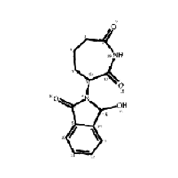 O=C1CCC[C@H](N2C(=O)c3ccccc3C2O)C(=O)N1